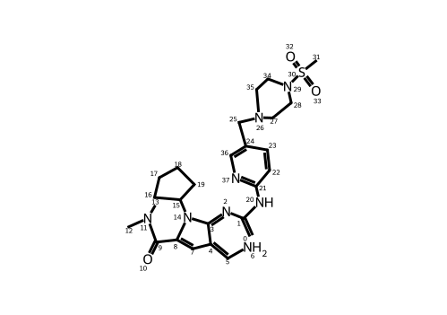 C=C(/N=C1\C(=C/N)C=C(C(=O)N(C)C)N1C1CCCC1)Nc1ccc(CN2CCN(S(C)(=O)=O)CC2)cn1